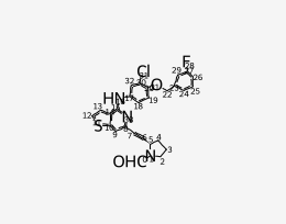 O=CN1CCC[C@@H]1C#Cc1cc2sccc2c(Nc2ccc(OCc3cccc(F)c3)c(Cl)c2)n1